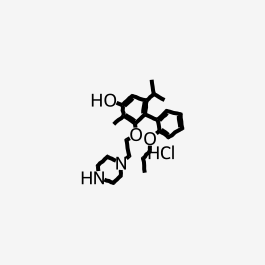 CCCOc1ccccc1-c1c(C(C)C)cc(O)c(C)c1OCCN1CCNCC1.Cl